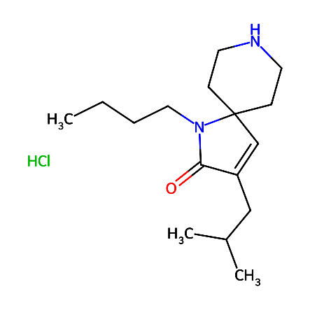 CCCCN1C(=O)C(CC(C)C)=CC12CCNCC2.Cl